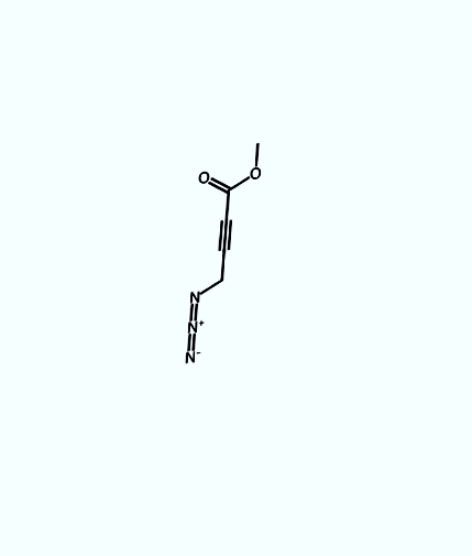 COC(=O)C#CCN=[N+]=[N-]